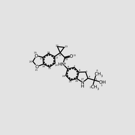 CC(C)(O)C1Cc2cc(NC(=O)C3(c4ccc5c(c4)OCO5)CC3)ccc2N1